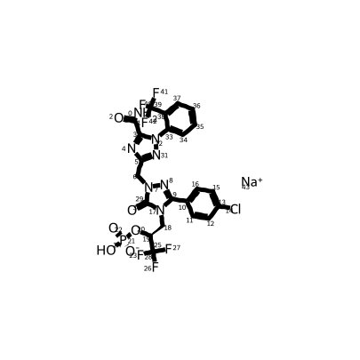 NC(=O)c1nc(Cn2nc(-c3ccc(Cl)cc3)n(C[C@H](OP(=O)([O-])O)C(F)(F)F)c2=O)nn1-c1ccccc1C(F)(F)F.[Na+]